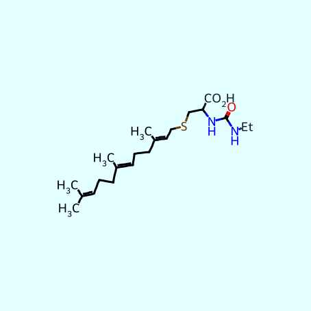 CCNC(=O)NC(CSC/C=C(\C)CC/C=C(\C)CCC=C(C)C)C(=O)O